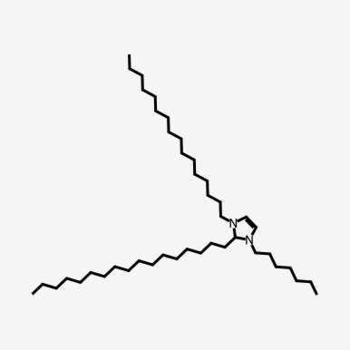 CCCCCCCCCCCCCCCCCC1N(CCCCCCC)C=CN1CCCCCCCCCCCCCCCC